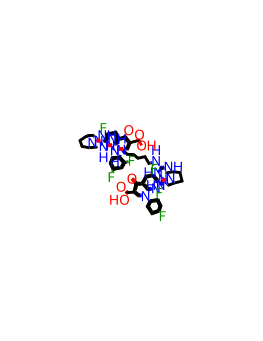 N=C(NCCCCCCNC(=N)NC(=N)N1C2CCC1CN(c1nc3c(cc1F)c(=O)c(C(=O)O)cn3-c1ccc(F)cc1F)C2)NC(=N)N1C2CCC1CN(c1nc3c(cc1F)c(=O)c(C(=O)O)cn3-c1ccc(F)cc1F)C2